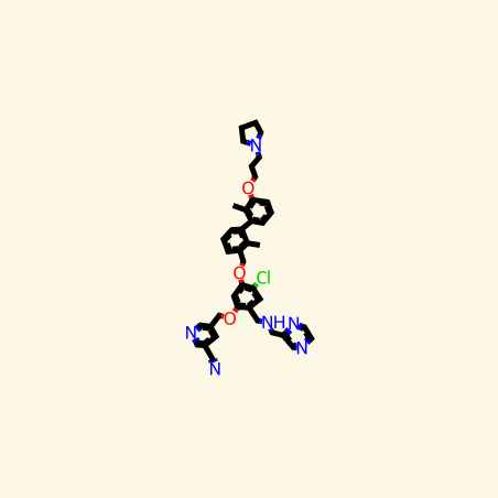 Cc1c(COc2cc(OCc3cncc(C#N)c3)c(CNCc3cnccn3)cc2Cl)cccc1-c1cccc(OCCCN2CCCC2)c1C